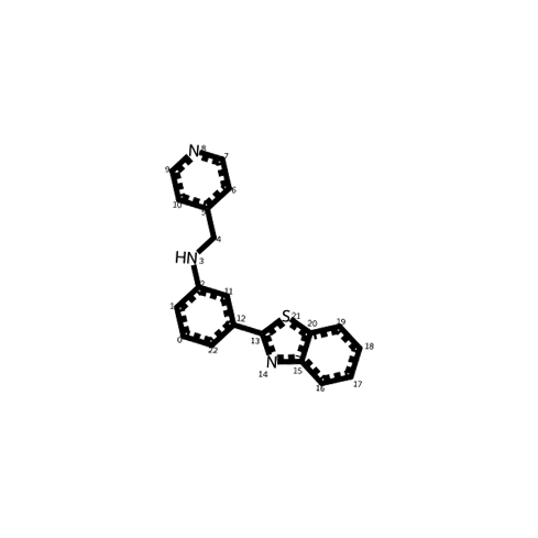 c1cc(NCc2ccncc2)cc(-c2nc3ccccc3s2)c1